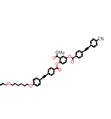 C=CCOCCCCCCOc1ccc(C#Cc2ccc(C(=O)Oc3ccc(OC(=O)c4ccc(C#Cc5ccc(C#N)cc5)cc4)cc3C(=O)OC)cc2)cc1